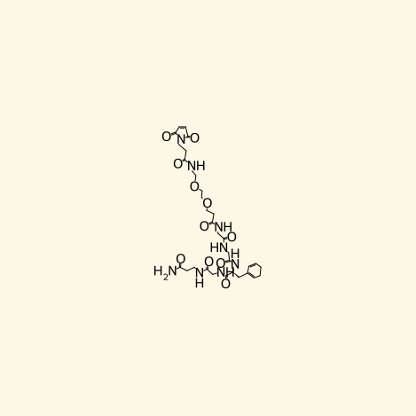 NC(=O)CCNC(=O)CNC(=O)[C@H](CC1=CCCC=C1)NC(=O)CNC(=O)CNC(=O)CCOCCOCCNC(=O)CCN1C(=O)C=CC1=O